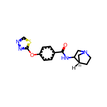 O=C(NC1CN2CC[C@H]1C2)c1ccc(Oc2nncs2)cc1